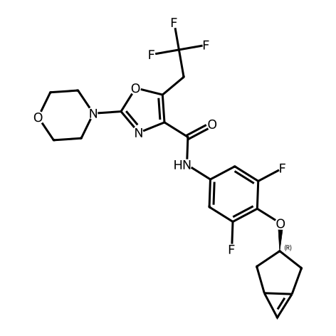 O=C(Nc1cc(F)c(O[C@H]2CC3=CC3C2)c(F)c1)c1nc(N2CCOCC2)oc1CC(F)(F)F